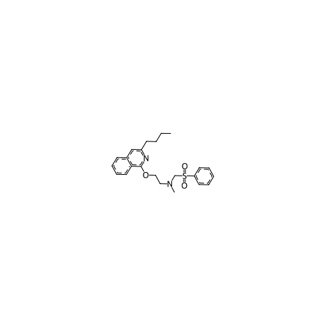 CCCCc1cc2ccccc2c(OCCN(C)CS(=O)(=O)c2ccccc2)n1